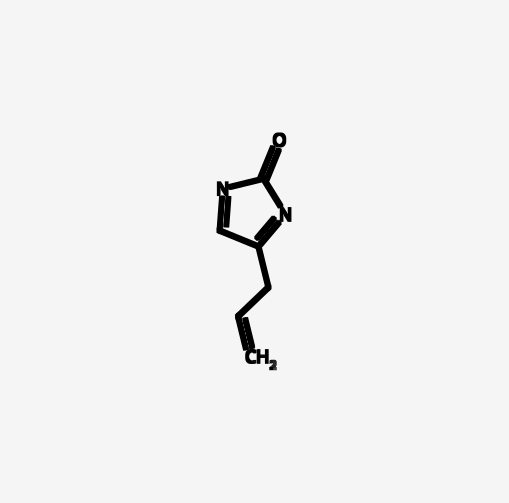 C=CCC1=NC(=O)N=C1